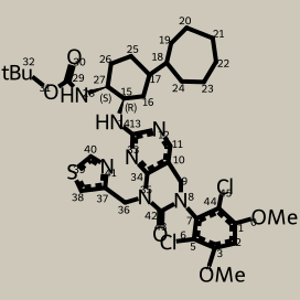 COc1cc(OC)c(Cl)c(N2Cc3cnc(N[C@@H]4CC(C5CCCCCC5)CC[C@@H]4NC(=O)OC(C)(C)C)nc3N(Cc3cscn3)C2=O)c1Cl